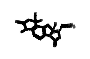 CN1C(=O)CC(F)(F)c2c1ccc1c2C[C@H]2[C@H](CN)OC(=O)N12